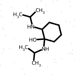 CC(C)NC1CCCCC1(O)NC(C)C